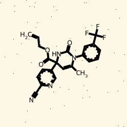 C=CCOC(=O)C1(c2ccc(C#N)nc2)C=C(C)N(c2cccc(C(F)(F)F)c2)C(=O)N1